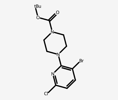 CC(C)(C)OC(=O)N1CCN(c2nc(Cl)ccc2Br)CC1